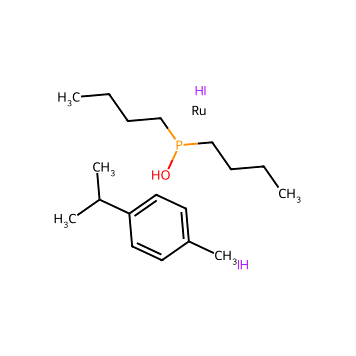 CCCCP(O)CCCC.Cc1ccc(C(C)C)cc1.I.I.[Ru]